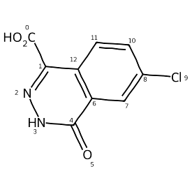 O=C(O)c1n[nH]c(=O)c2cc(Cl)ccc12